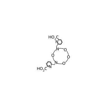 O=C(O)c1cccc(CN2CCOCCOCCOCCN(Cc3cccc(C(=O)O)n3)CCOCC2)n1